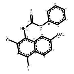 CC(=O)Oc1ccc2c(Cl)cc(Cl)c(NC(=O)Oc3ccccc3)c2c1